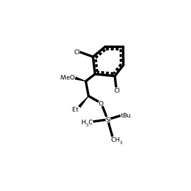 CC[C@H](O[Si](C)(C)C(C)(C)C)[C@@H](OC)c1c(Cl)cccc1Cl